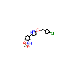 CS(=O)(=O)Nc1cccc(-c2ccc(OCCc3ccc(Cl)cc3)nn2)c1